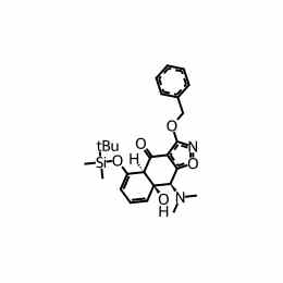 CN(C)[C@@H]1c2onc(OCc3ccccc3)c2C(=O)[C@@H]2C(O[Si](C)(C)C(C)(C)C)=CC=C[C@]21O